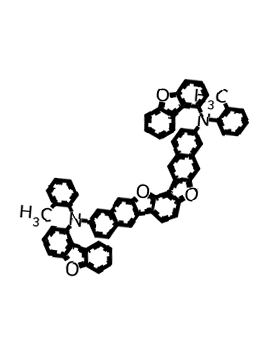 Cc1ccccc1N(c1ccc2cc3c(cc2c1)oc1c3ccc2oc3cc4cc(N(c5ccccc5C)c5cccc6oc7ccccc7c56)ccc4cc3c21)c1cccc2oc3ccccc3c12